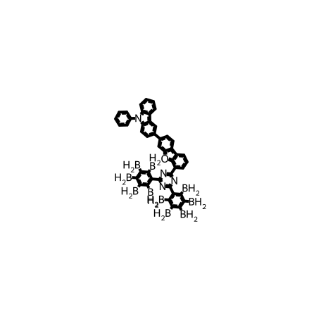 Bc1c(B)c(B)c(-c2nc(-c3c(B)c(B)c(B)c(B)c3B)nc(-c3cccc4c3oc3cc(-c5ccc6c(c5)c5ccccc5n6-c5ccccc5)ccc34)n2)c(B)c1B